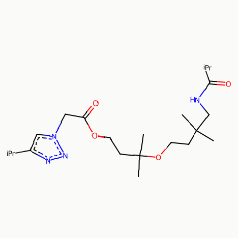 CC(C)C(=O)NCC(C)(C)CCOC(C)(C)CCOC(=O)Cn1cc(C(C)C)nn1